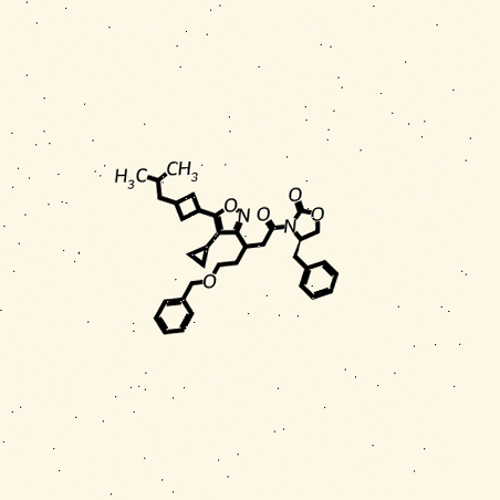 CC(C)CC1CC(c2onc(C(CCOCc3ccccc3)CC(=O)N3C(=O)OC[C@H]3Cc3ccccc3)c2C2CC2)C1